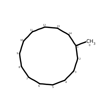 CC1C[CH]CCCCCCCCCCC1